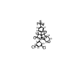 CC1(C)C(=O)N(c2cc(Cl)cc(Cl)c2)C(=O)[C@@]1(C(=O)N1CCOCC1)c1ccc(C(F)(F)F)cc1